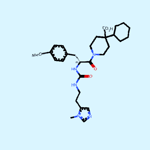 COc1ccc(C[C@@H](NC(=O)NCCc2cncn2C)C(=O)N2CCC(C(=O)O)(C3CCCCC3)CC2)cc1